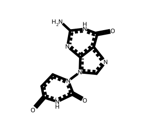 Nc1nc2c(ncn2-n2ccc(=O)[nH]c2=O)c(=O)[nH]1